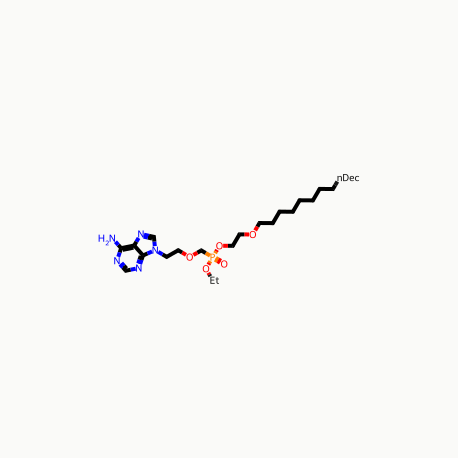 CCCCCCCCCCCCCCCCCCOCCOP(=O)(COCCn1cnc2c(N)ncnc21)OCC